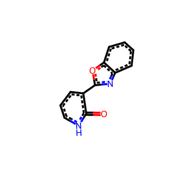 O=c1[nH]cccc1-c1nc2ccccc2o1